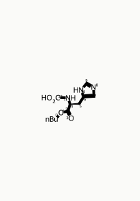 CCCCOC(=O)[C@H](Cc1cnc[nH]1)NC(=O)O